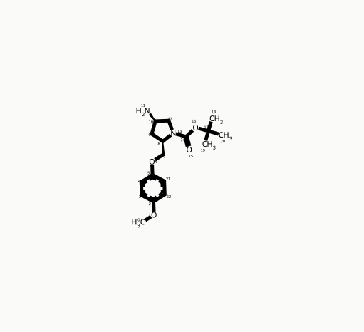 COc1ccc(OC[C@H]2C[C@@H](N)CN2C(=O)OC(C)(C)C)cc1